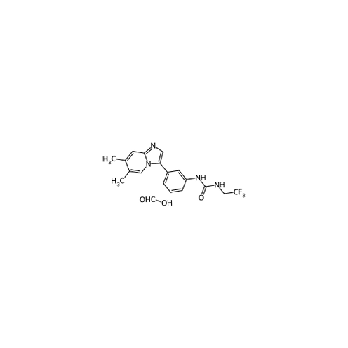 Cc1cc2ncc(-c3cccc(NC(=O)NCC(F)(F)F)c3)n2cc1C.O=CO